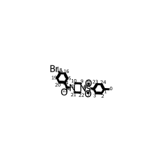 Cc1ccc(S(=O)(=O)N2CCN(C(=O)c3ccc(Br)cc3)CC2)cc1